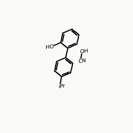 CC(C)c1ccc(-c2ccccc2O)cc1.N#CO